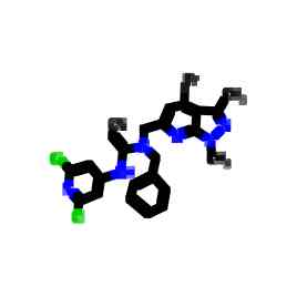 Cc1nn(C)c2nc(CN(Cc3ccccc3)/C(=C\C#N)Nc3cc(Cl)nc(Cl)c3)cc(C(C)C)c12